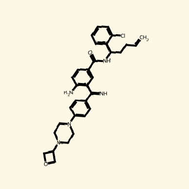 C=CCCC(NC(=O)c1ccc(N)c(C(=N)c2ccc(N3CCN(C4COC4)CC3)cc2)c1)c1ccccc1Cl